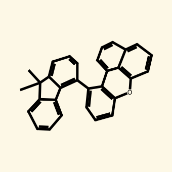 CC1(C)c2ccccc2-c2c(-c3cccc4c3-c3cccc5cccc(c35)O4)cccc21